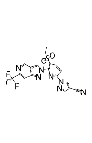 CCS(=O)(=O)c1ccc(-n2cc(C#N)cn2)nc1-n1cc2cnc(C(F)(F)F)cc2n1